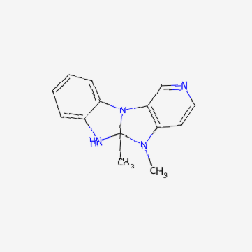 CN1c2ccncc2N2c3ccccc3NC12C